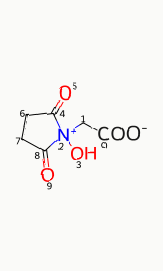 O=C([O-])C[N+]1(O)C(=O)CCC1=O